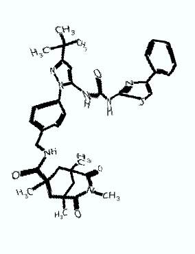 CN1C(=O)C2(C)CC(C)(C(=O)NCc3ccc(-n4nc(C(C)(C)C)cc4NC(=O)Nc4nc(-c5ccccc5)cs4)cc3)CC(C)(C2)C1=O